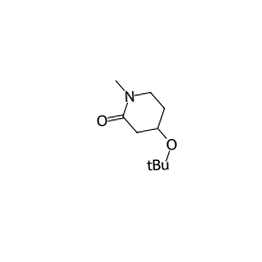 CN1CCC(OC(C)(C)C)CC1=O